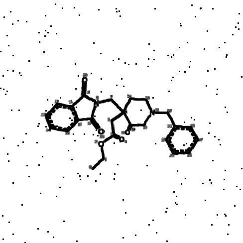 CCOC(=O)CC1(CN2C(=O)c3ccccc3C2=O)CCN(Cc2ccccc2)CC1=O